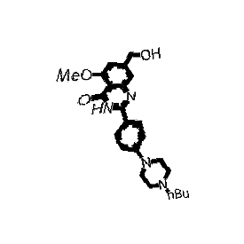 CCCCN1CCN(c2ccc(-c3nc4cc(CO)cc(OC)c4c(=O)[nH]3)cc2)CC1